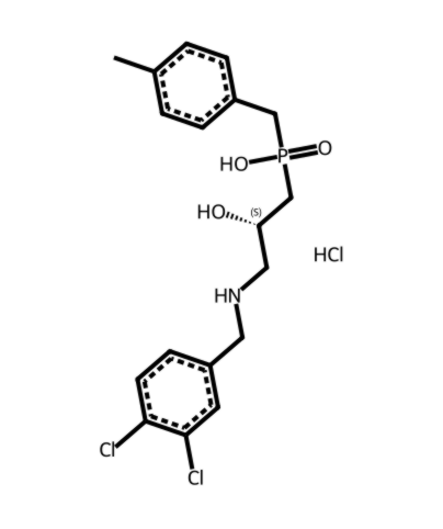 Cc1ccc(CP(=O)(O)C[C@@H](O)CNCc2ccc(Cl)c(Cl)c2)cc1.Cl